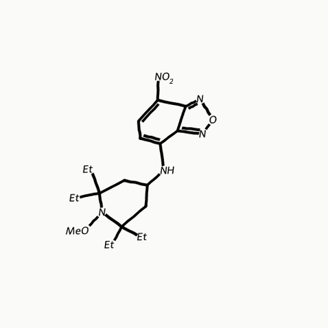 CCC1(CC)CC(Nc2ccc([N+](=O)[O-])c3nonc23)CC(CC)(CC)N1OC